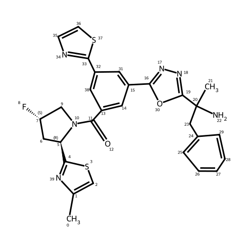 Cc1csc([C@H]2C[C@H](F)CN2C(=O)c2cc(-c3nnc(C(C)(N)Cc4ccccc4)o3)cc(-c3nccs3)c2)n1